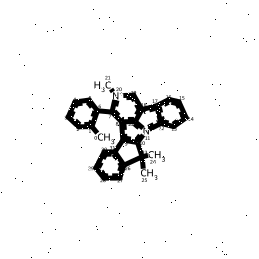 Cc1ccccc1-c1c2c3c(n4c5ccccc5c(c[n+]1C)c24)C(C)(C)c1ccccc1-3